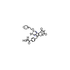 CC(/C=c1/c2c(n(Cc3ccc(C(=O)NO)cc3)/c1=C/C=S)CN1CC2C(=O)N(C)C1=O)OCCN1CCOCC1